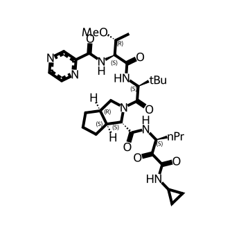 CCC[C@H](NC(=O)[C@@H]1[C@H]2CCC[C@H]2CN1C(=O)[C@@H](NC(=O)[C@@H](NC(=O)c1cnccn1)[C@@H](C)OC)C(C)(C)C)C(=O)C(=O)NC1CC1